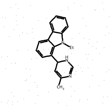 CCn1c2ccccc2c2cccc(C3C=C(C)N=CN3)c21